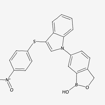 O=[N+]([O-])c1ccc(Sc2cn(-c3ccc4c(c3)B(O)OC4)c3ccccc23)cc1